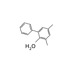 Cc1cc(C)c(C)c(-c2ccccc2)c1.O